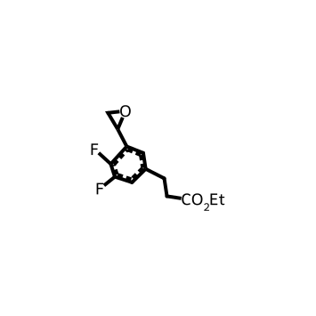 CCOC(=O)CCc1cc(F)c(F)c(C2CO2)c1